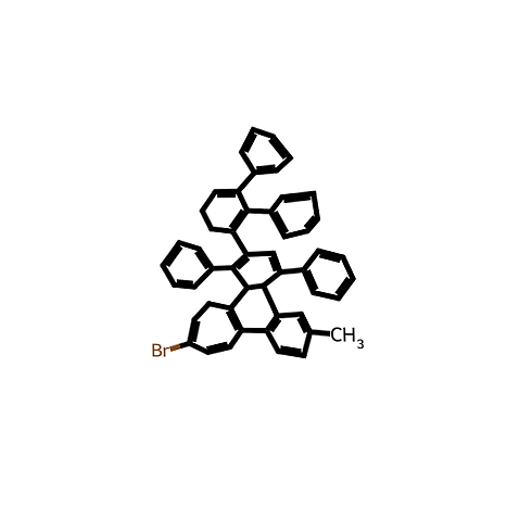 Cc1ccc2c(c1)C1C(c3ccccc3)=CC(C3=C(c4ccccc4)C(c4ccccc4)=CCC3)=C(c3ccccc3)C1C1=C2C=CC(Br)=CC1